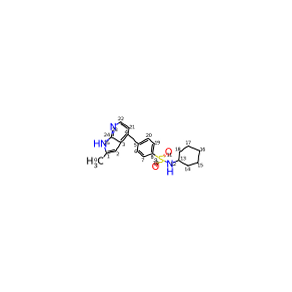 Cc1cc2c(-c3ccc(S(=O)(=O)NC4CCCCC4)cc3)ccnc2[nH]1